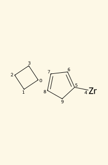 C1CCC1.[Zr][C]1=CC=CC1